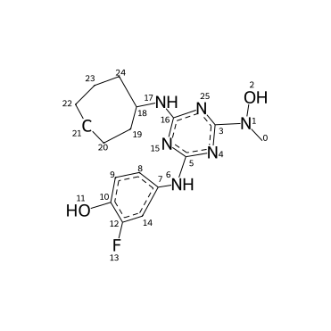 CN(O)c1nc(Nc2ccc(O)c(F)c2)nc(NC2CCCCCC2)n1